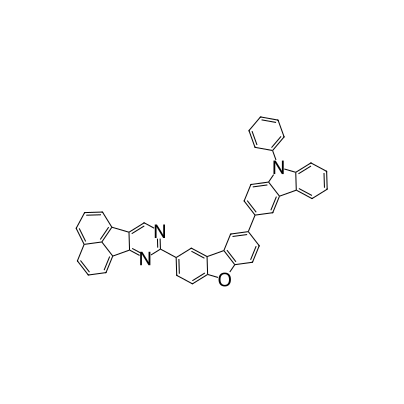 c1ccc(-n2c3ccccc3c3cc(-c4ccc5oc6ccc(-c7ncc8c(n7)-c7cccc9cccc-8c79)cc6c5c4)ccc32)cc1